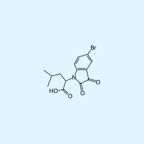 CC(C)CC(C(=O)O)N1C(=O)C(=O)c2cc(Br)ccc21